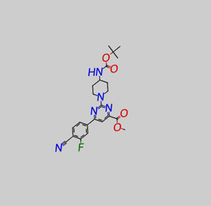 COC(=O)c1cc(-c2ccc(C#N)c(F)c2)nc(N2CCC(NC(=O)OC(C)(C)C)CC2)n1